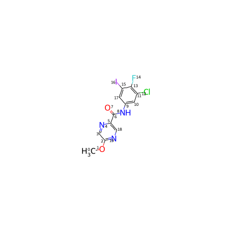 COc1cnc(C(=O)Nc2cc(Cl)c(F)c(I)c2)cn1